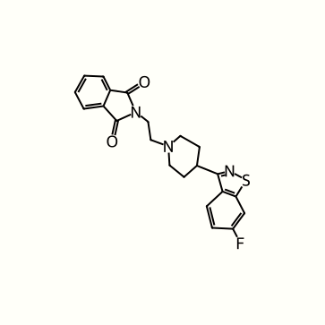 O=C1c2ccccc2C(=O)N1CCN1CCC(c2nsc3cc(F)ccc23)CC1